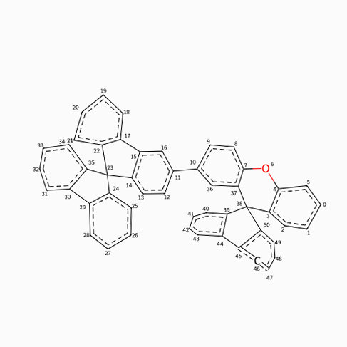 c1ccc2c(c1)Oc1ccc(-c3ccc4c(c3)-c3ccccc3C43c4ccccc4-c4ccccc43)cc1C21c2ccccc2-c2ccccc21